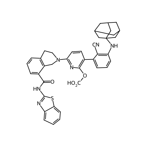 N#Cc1c(NC23CC4CC(CC(C4)C2)C3)cccc1-c1ccc(N2CCc3cccc(C(=O)Nc4nc5ccccc5s4)c3C2)nc1OC(=O)O